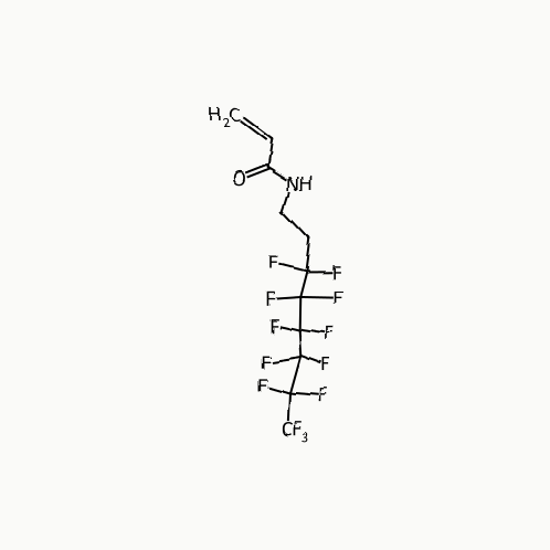 C=CC(=O)NCCC(F)(F)C(F)(F)C(F)(F)C(F)(F)C(F)(F)C(F)(F)F